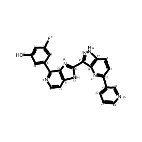 Oc1cc(F)cc(-c2nccc3[nH]c(-c4n[nH]c5ccc(-c6cccnc6)nc45)nc23)c1